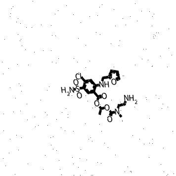 CC(OC(=O)c1cc(S(N)(=O)=O)c(Cl)cc1NCc1ccco1)OC(=O)N(C)CCN